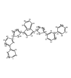 c1cncc(-c2cc(-c3nnc(-c4ccc(-c5nnc(-c6ccnc(-c7cccnc7)c6)s5)c5ccccc45)s3)ccn2)c1